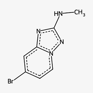 CNc1nc2cc(Br)ccn2n1